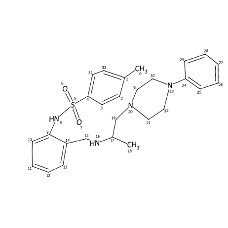 Cc1ccc(S(=O)(=O)Nc2ccccc2CNC(C)CN2CCN(c3ccccc3)CC2)cc1